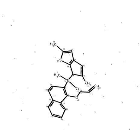 C=CCOc1c([Si](C)(C)C2C(C)=Cc3cc(C)sc32)ccc2ccccc12